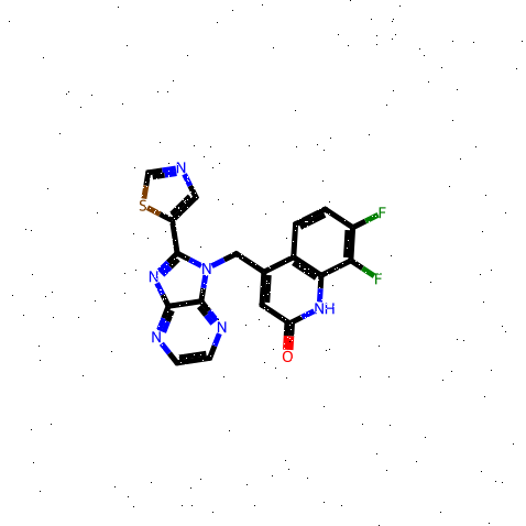 O=c1cc(Cn2c(-c3cncs3)nc3nccnc32)c2ccc(F)c(F)c2[nH]1